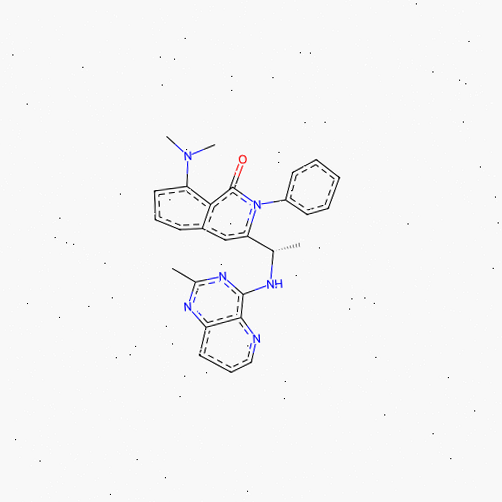 Cc1nc(N[C@@H](C)c2cc3cccc(N(C)C)c3c(=O)n2-c2ccccc2)c2ncccc2n1